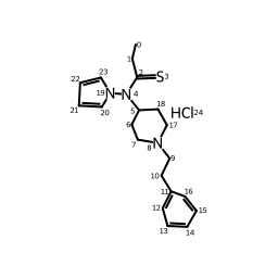 CCC(=S)N(C1CCN(CCc2ccccc2)CC1)n1cccc1.Cl